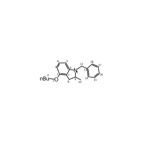 CCCCOc1cccc2c1CC(C)N2Cc1ccccc1